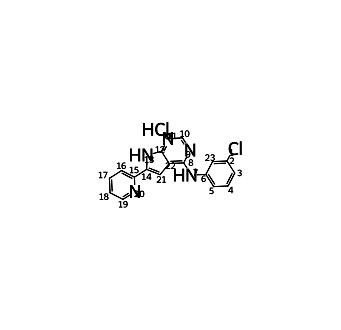 Cl.Clc1cccc(Nc2ncnc3[nH]c(-c4ccccn4)cc23)c1